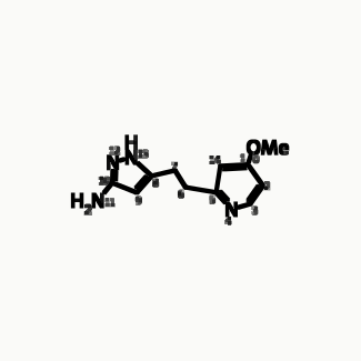 COc1ccnc(CCc2cc(N)n[nH]2)c1